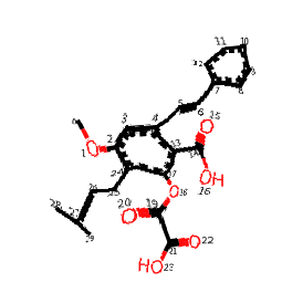 COc1cc(/C=C/c2ccccc2)c(C(=O)O)c(OC(=O)C(=O)O)c1CC=C(C)C